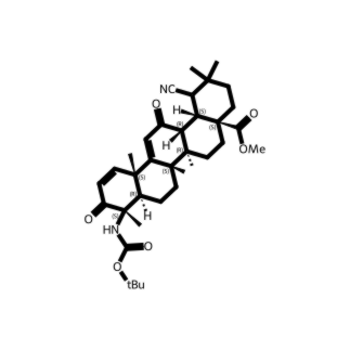 COC(=O)[C@]12CCC(C)(C)C(C#N)[C@H]1[C@H]1C(=O)C=C3[C@@]4(C)C=CC(=O)[C@@](C)(NC(=O)OC(C)(C)C)[C@@H]4CC[C@@]3(C)[C@]1(C)CC2